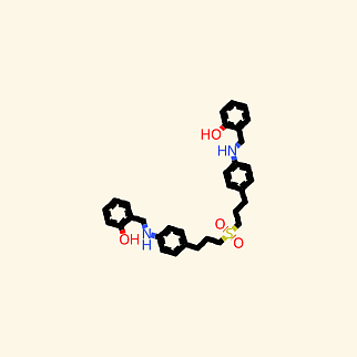 O=S(=O)(CCCc1ccc(NCc2ccccc2O)cc1)CCCc1ccc(NCc2ccccc2O)cc1